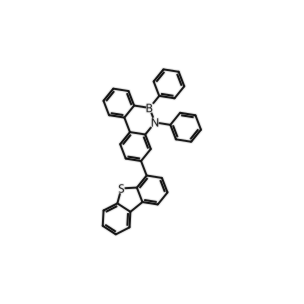 c1ccc(B2c3ccccc3-c3ccc(-c4cccc5c4sc4ccccc45)cc3N2c2ccccc2)cc1